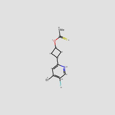 CCc1cc(C2CC(OC(=S)SC)C2)ncc1F